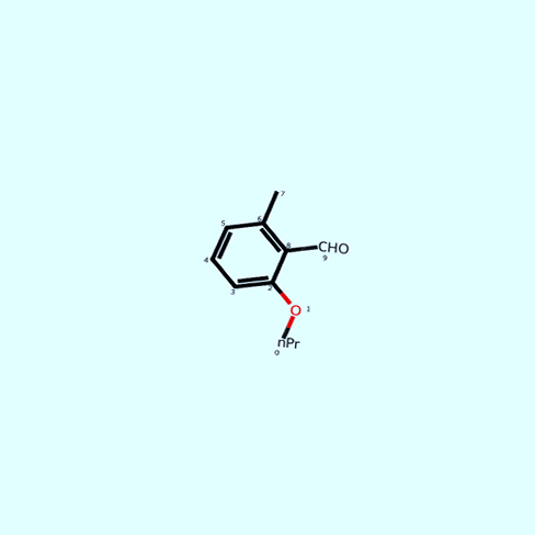 CCCOc1cccc(C)c1C=O